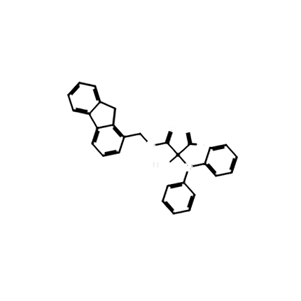 CC(C(=O)O)(C(=O)OCc1cccc2c1Cc1ccccc1-2)N(c1ccccc1)c1ccccc1